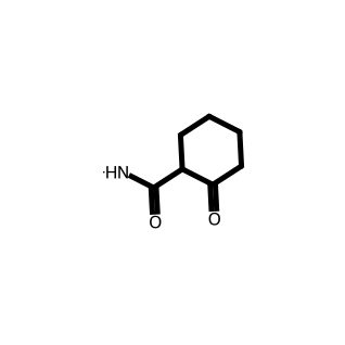 [NH]C(=O)C1CCCCC1=O